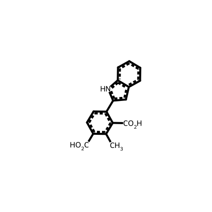 Cc1c(C(=O)O)ccc(-c2cc3ccccc3[nH]2)c1C(=O)O